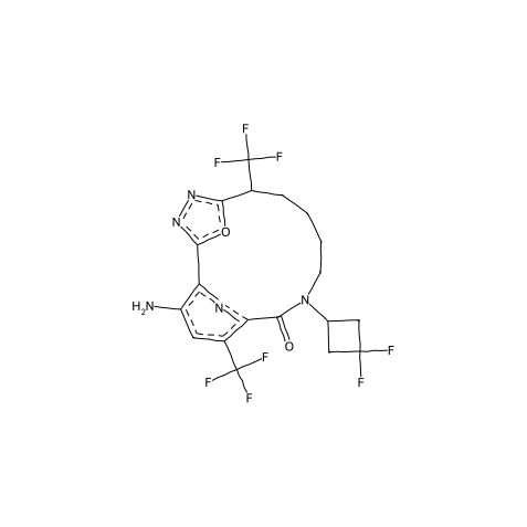 Nc1cc(C(F)(F)F)c2nc1-c1nnc(o1)C(C(F)(F)F)CCCCN(C1CC(F)(F)C1)C2=O